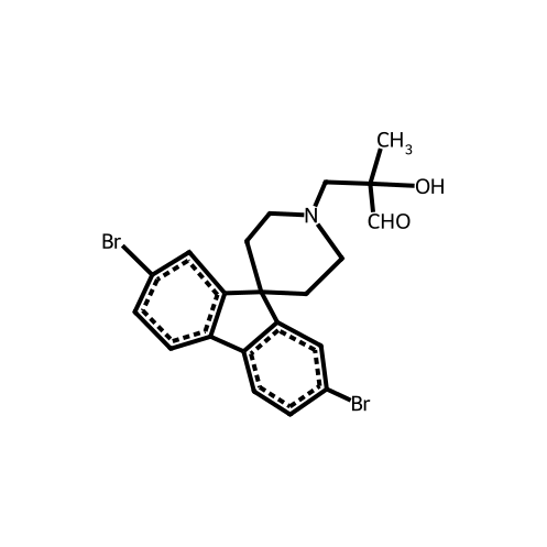 CC(O)(C=O)CN1CCC2(CC1)c1cc(Br)ccc1-c1ccc(Br)cc12